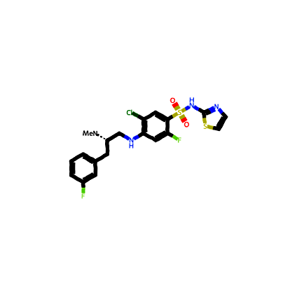 CN[C@H](CNc1cc(F)c(S(=O)(=O)Nc2nccs2)cc1Cl)Cc1cccc(F)c1